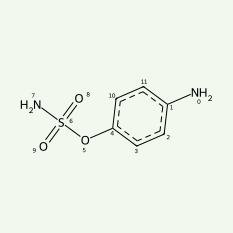 Nc1ccc(OS(N)(=O)=O)cc1